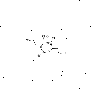 C=CCc1cc(O)c(CC=C)c(C=O)c1O